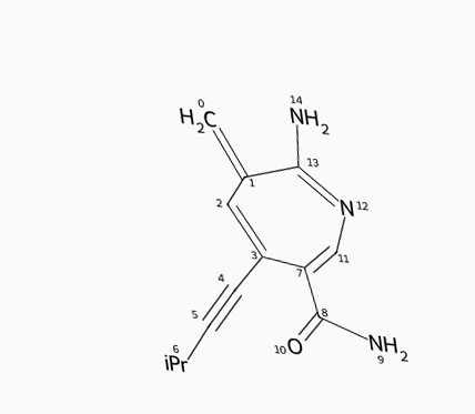 C=C1C=C(C#CC(C)C)C(C(N)=O)=CN=C1N